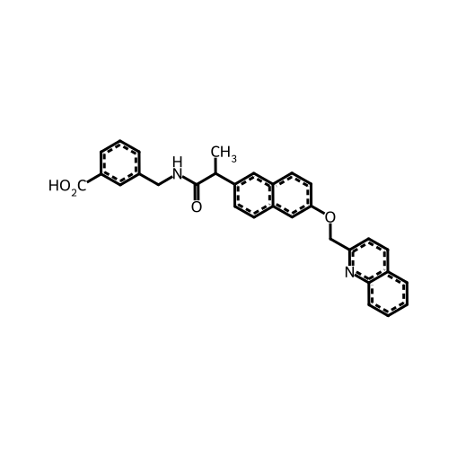 CC(C(=O)NCc1cccc(C(=O)O)c1)c1ccc2cc(OCc3ccc4ccccc4n3)ccc2c1